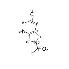 CC(=O)N1Cc2cc(Cl)cnc2C1